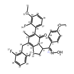 COc1ccc(/C(=N\O)C2CSc3c(Cc4c(F)cccc4F)c(C)c(-c4cccc(OC)c4F)c(=O)n32)cc1